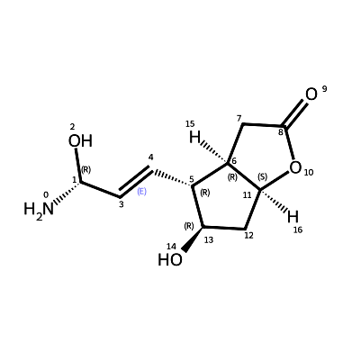 N[C@H](O)/C=C/[C@@H]1[C@H]2CC(=O)O[C@H]2C[C@H]1O